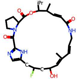 CC1=C\C(O)CC(F)Cc2cnc([nH]2)C(=O)N2CCCC2C(=O)OC(C(C)C)C(C)/C=C/C(=O)NC\C=C\1